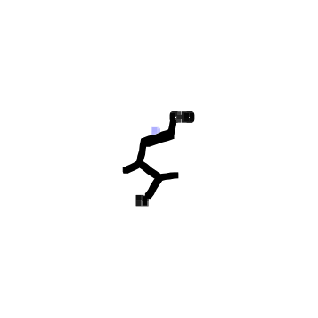 CCC(C)C(C)/C=C/C=O